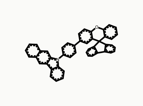 c1ccc2c(c1)Oc1ccc(-c3ccc(-n4c5ccccc5c5cc6ccccc6cc54)cc3)cc1C21c2ccccc2-c2ccccc21